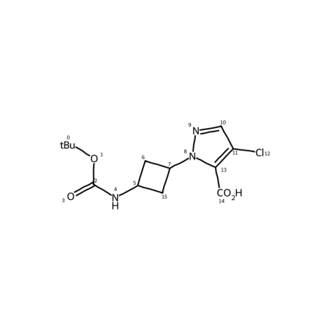 CC(C)(C)OC(=O)NC1CC(n2ncc(Cl)c2C(=O)O)C1